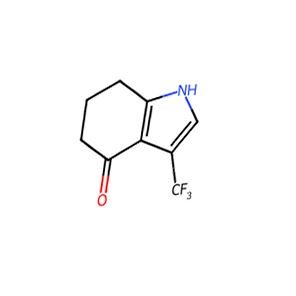 O=C1CCCc2[nH]cc(C(F)(F)F)c21